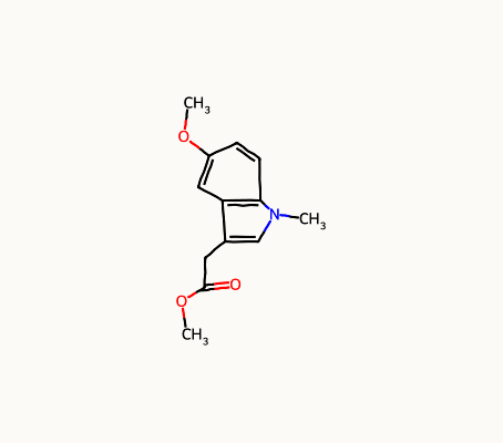 COC(=O)Cc1cn(C)c2ccc(OC)cc12